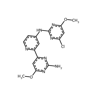 COc1cc(-c2cc(Nc3nc(Cl)cc(OC)n3)ccn2)nc(N)n1